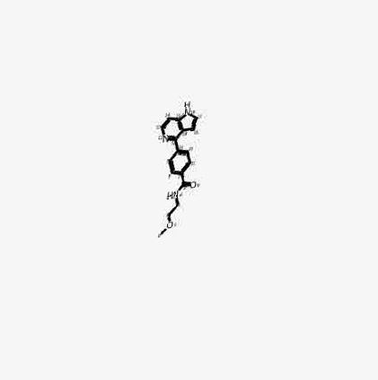 COCCNC(=O)c1ccc(-c2nccc3[nH]ccc23)cc1